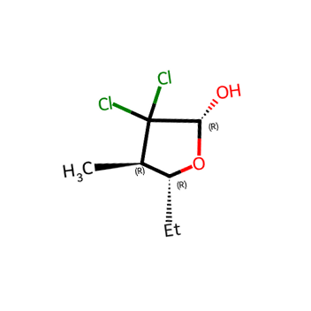 CC[C@H]1O[C@@H](O)C(Cl)(Cl)[C@@H]1C